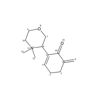 C=C1CCC=C(C2COCC[N+]2(C)C)C1=O